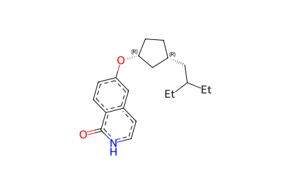 CCC(CC)C[C@H]1CC[C@@H](Oc2ccc3c(=O)[nH]ccc3c2)C1